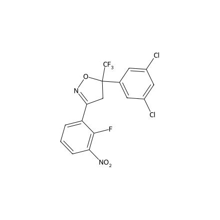 O=[N+]([O-])c1cccc(C2=NOC(c3cc(Cl)cc(Cl)c3)(C(F)(F)F)C2)c1F